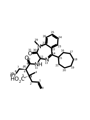 C=CC[C@@](C)(C(=O)O)[C@@H](CC(C)C)C(=O)NC1N=C(C2CCCCCC2)c2ccccc2N(C)C1=O